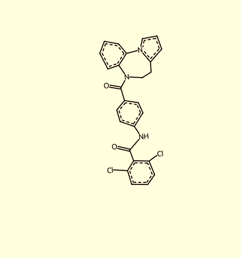 O=C(Nc1ccc(C(=O)N2CCc3cccn3-c3ccccc32)cc1)c1c(Cl)cccc1Cl